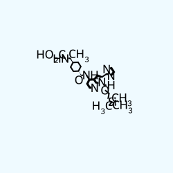 CC(NC(=O)O)[C@H]1CC[C@H](C(=O)Nc2ccnc3c2cc(-c2ncc[nH]2)n3COCC[Si](C)(C)C)CC1